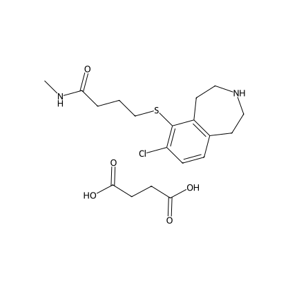 CNC(=O)CCCSc1c(Cl)ccc2c1CCNCC2.O=C(O)CCC(=O)O